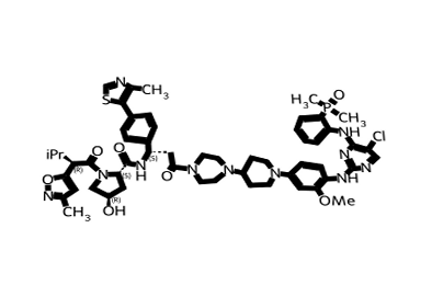 COc1cc(N2CCC(N3CCN(C(=O)C[C@H](NC(=O)[C@@H]4C[C@@H](O)CN4C(=O)[C@@H](c4cc(C)no4)C(C)C)c4ccc(-c5scnc5C)cc4)CC3)CC2)ccc1Nc1ncc(Cl)c(Nc2ccccc2P(C)(C)=O)n1